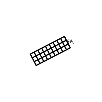 CC12C3C4C5C6C7C8C9C%10C%11C%12CC%13C%14CC%15C%16C%17C%18C%19C%20C%21C3C13C5(C42C)C61C%213C%202C71C81C93C%104C%115C%13%12C%14%15C%165C%174C%183C%1921